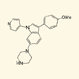 COc1ccc(-c2cn(-c3ccncc3)c3cc(N4CCNCC4)ccc23)cc1